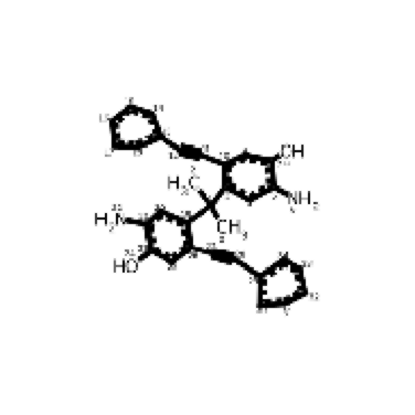 CC(C)(c1cc(N)c(O)cc1C#Cc1ccccc1)c1cc(N)c(O)cc1C#Cc1ccccc1